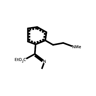 CCOC(=O)C(=NC)c1ccccc1CCNC